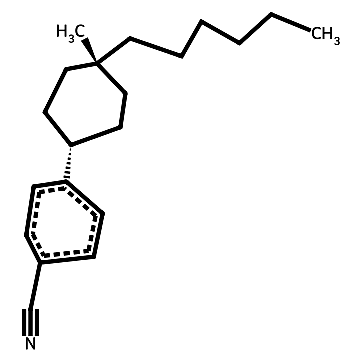 CCCCCC[C@]1(C)CC[C@H](c2ccc(C#N)cc2)CC1